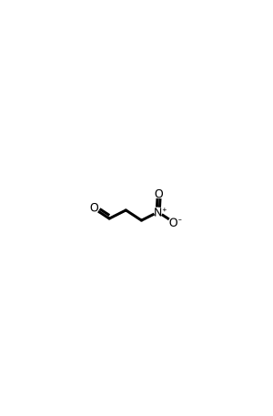 O=CCC[N+](=O)[O-]